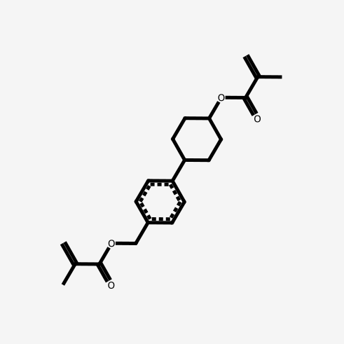 C=C(C)C(=O)OCc1ccc(C2CCC(OC(=O)C(=C)C)CC2)cc1